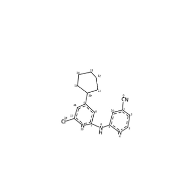 N#Cc1ccnc(Nc2cc(C3CCCCC3)cc(Cl)n2)c1